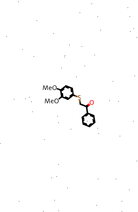 COc1ccc(SCC(=O)c2ccccc2)cc1OC